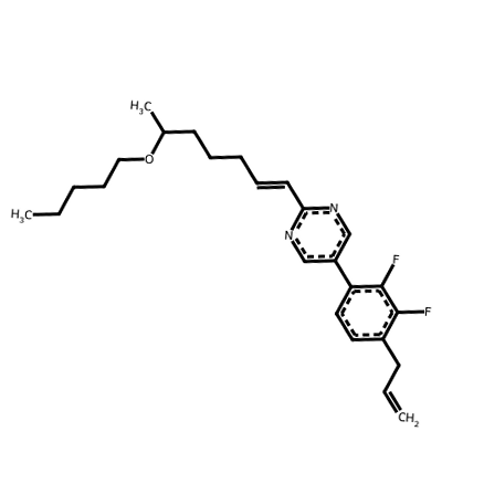 C=CCc1ccc(-c2cnc(/C=C/CCCC(C)OCCCCC)nc2)c(F)c1F